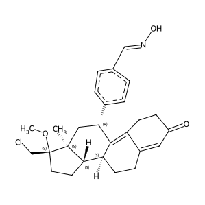 CO[C@@]1(CCl)CC[C@H]2[C@@H]3CCC4=CC(=O)CCC4=C3[C@@H](c3ccc(C=NO)cc3)C[C@@]21C